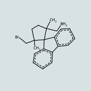 BCC1(C)CCC(C)(CBr)C12c1ccccc1-c1ccccc12